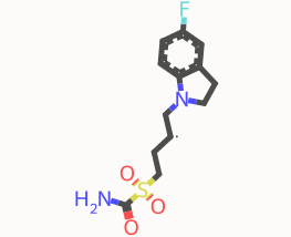 NC(=O)S(=O)(=O)CC[CH]CN1CCc2cc(F)ccc21